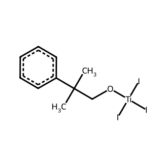 CC(C)(C[O][Ti]([I])([I])[I])c1ccccc1